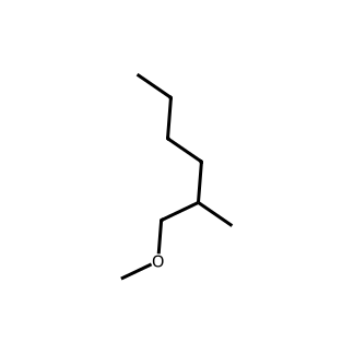 CCCCC(C)COC